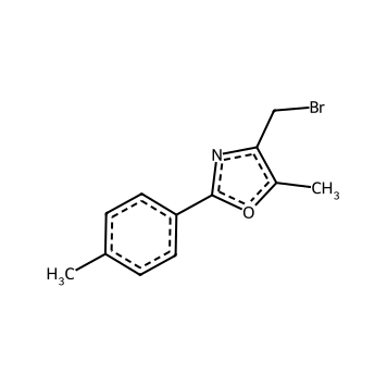 Cc1ccc(-c2nc(CBr)c(C)o2)cc1